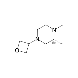 C[C@@H]1CN(C2COC2)CCN1C